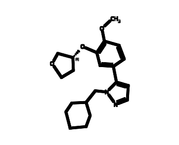 COc1ccc(-c2ccnn2CC2CCCCC2)cc1O[C@@H]1CCOC1